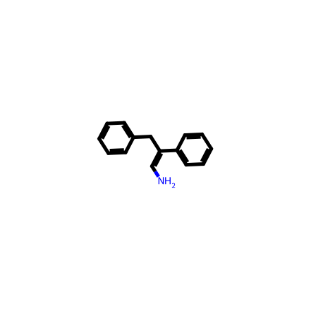 NC=C(Cc1ccccc1)c1ccccc1